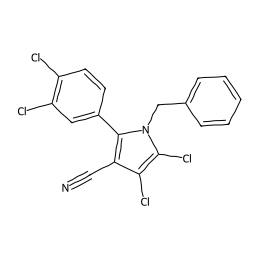 N#Cc1c(Cl)c(Cl)n(Cc2ccccc2)c1-c1ccc(Cl)c(Cl)c1